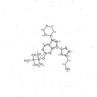 CC(C)(C)[Si](C)(C)Oc1ccc2c(c1)c(-c1cnn(CCO)n1)nn2C1CCCCO1